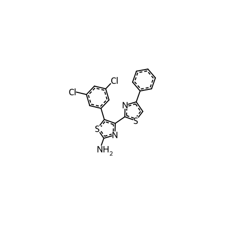 Nc1nc(-c2nc(-c3ccccc3)cs2)c(-c2cc(Cl)cc(Cl)c2)s1